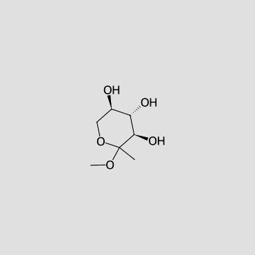 COC1(C)OC[C@@H](O)[C@H](O)[C@H]1O